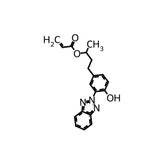 C=CC(=O)OC(C)CCc1ccc(O)c(-n2nc3ccccc3n2)c1